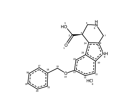 Cl.O=C(O)[C@H]1CNCc2[nH]c3ccc(OCc4ccccc4)cc3c21